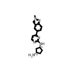 Cn1cc2cc(-c3ccnc(N[C@H]4CC[C@H](N)C4)n3)ccc2n1